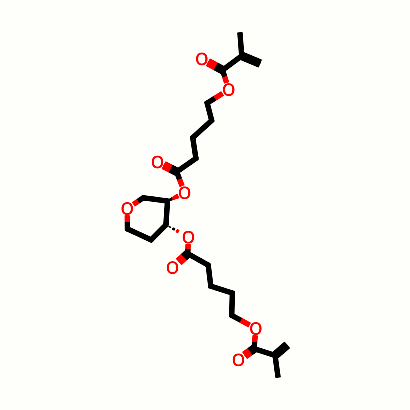 C=C(C)C(=O)OCCCCC(=O)O[C@@H]1CCOC[C@H]1OC(=O)CCCCOC(=O)C(=C)C